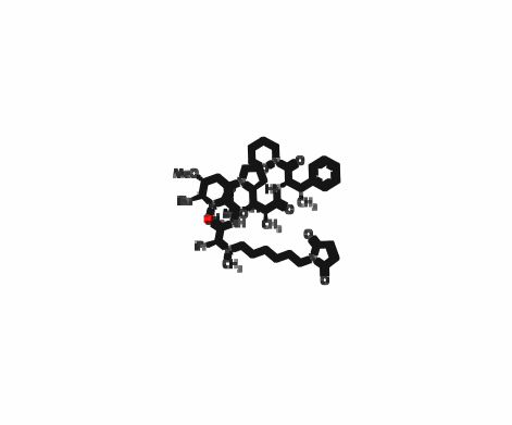 CC[C@H](C)[C@@H]([C@@H](CC(=O)N1CCC[C@H]1[C@H](OC)[C@@H](C)C(=O)N[C@H](C(=O)N1CCCCO1)[C@@H](C)c1ccccc1)OC)N(C)C(=O)[C@@H](NC(=O)[C@H](C(C)C)N(C)CCCCCCN1C(=O)C=CC1=O)C(C)C